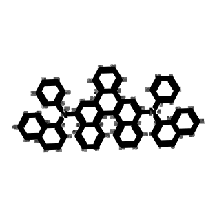 c1ccc(N(c2cccc3ccccc23)c2cc3c4ccccc4c4cc(N(c5ccccc5)c5cccc6ccccc56)c5ccccc5c4c3c3ccccc23)cc1